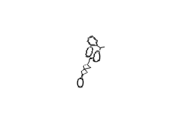 CC(OC(=O)C1CC2(CC(=O)C2)C1)c1ccccc1